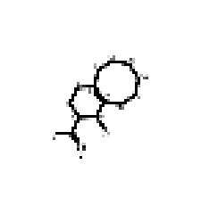 CC(=O)C1CCC2=C(CCCCCC2)C1C